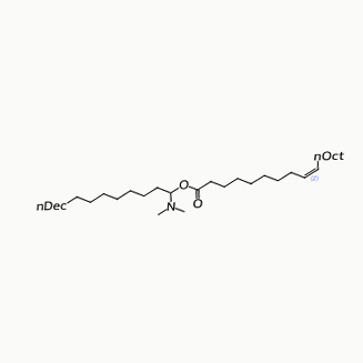 CCCCCCCC/C=C\CCCCCCCC(=O)OC(CCCCCCCCCCCCCCCCC)N(C)C